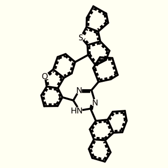 c1ccc(C2=NC(c3cccc4oc5ccc(-c6cccc7c6sc6ccccc67)cc5c34)NC(c3cc4ccccc4c4ccccc34)=N2)cc1